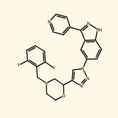 Fc1cccc(F)c1CN1CCOC(c2cn(-c3ccc4[nH]nc(-c5ccncc5)c4c3)nn2)C1